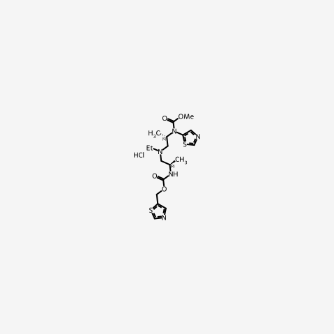 CCN(C[C@@H](C)NC(=O)OCc1cncs1)C[C@H](C)N(C(=O)OC)c1cncs1.Cl